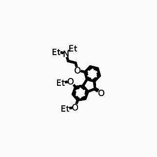 CCOc1cc(OCC)c2c(c1)C(=O)c1cccc(OCCN(CC)CC)c1-2